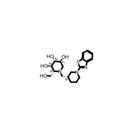 OC[C@@H]1[C@@H](O)[C@H](O)[C@@H](O)CN1C[C@H]1CCCN(c2nc3ccccc3s2)C1